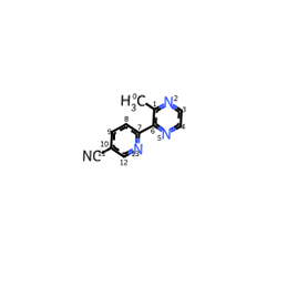 Cc1nccnc1-c1ccc(C#N)cn1